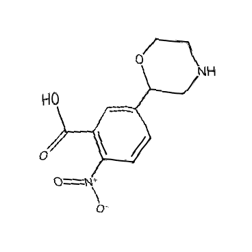 O=C(O)c1cc(C2CNCCO2)ccc1[N+](=O)[O-]